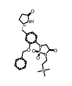 C[Si](C)(C)CCN1C(=O)CN(c2ccc(C[C@@H]3CCC(=O)N3)cc2OCc2ccccc2)S1(=O)=O